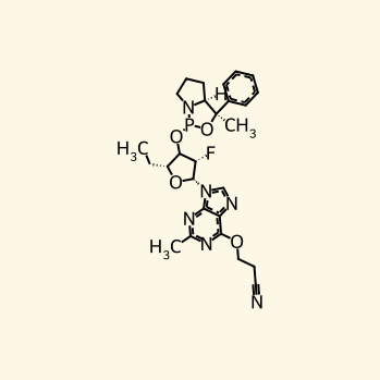 CC[C@H]1O[C@@H](n2cnc3c(OCCC#N)nc(C)nc32)[C@@H](F)C1O[P@@]1O[C@](C)(c2ccccc2)[C@@H]2CCCN21